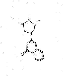 C[C@@H]1CN(c2cc(=O)n3ccccc3n2)C[C@H](C)N1